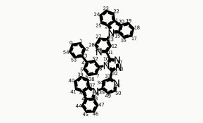 c1ccc(-c2cccc(-n3c(-c4cc(-n5c6ccccc6c6ccccc65)ccn4)nnc3-c3cc(-n4c5ccccc5c5ccccc54)ccn3)c2)cc1